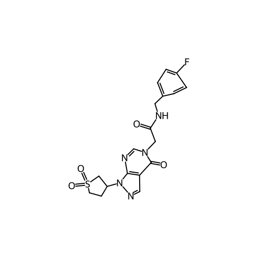 O=C(Cn1cnc2c(cnn2C2CCS(=O)(=O)C2)c1=O)NCc1ccc(F)cc1